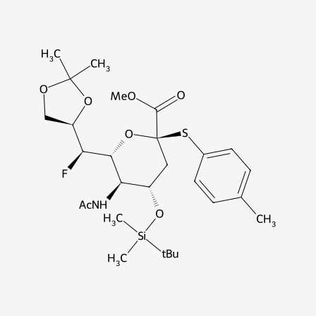 COC(=O)[C@]1(Sc2ccc(C)cc2)C[C@H](O[Si](C)(C)C(C)(C)C)[C@@H](NC(C)=O)[C@H]([C@@H](F)[C@H]2COC(C)(C)O2)O1